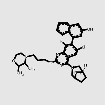 CC1OCCN(CCCOc2nc(N3CC4CC[C@H](C3)N4)c3cc(Cl)c(-c4cc(O)cc5ccccc45)c(F)c3n2)C1C